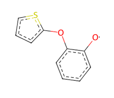 [O]c1ccccc1Oc1cccs1